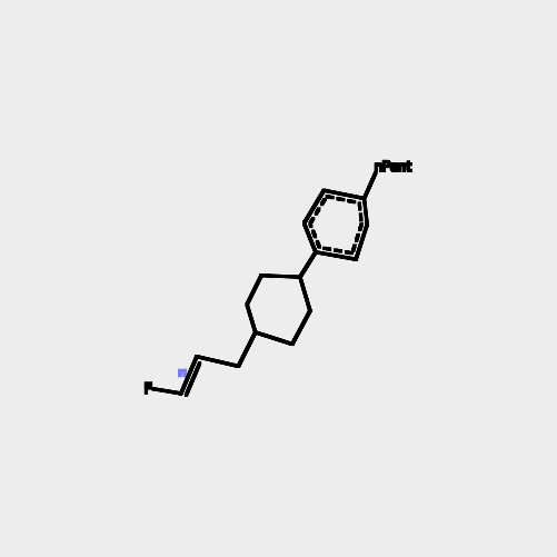 CCCCCc1ccc(C2CCC(C/C=C/F)CC2)cc1